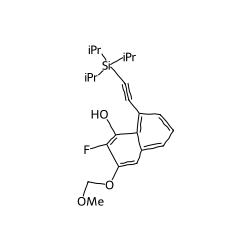 COCOc1cc2cccc(C#C[Si](C(C)C)(C(C)C)C(C)C)c2c(O)c1F